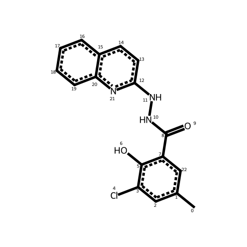 Cc1cc(Cl)c(O)c(C(=O)NNc2ccc3ccccc3n2)c1